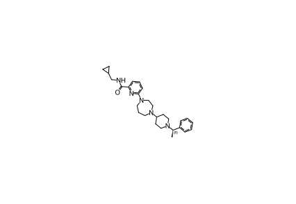 C[C@H](c1ccccc1)N1CCC(N2CCCN(c3cccc(C(=O)NCC4CC4)n3)CC2)CC1